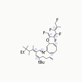 C=CCC\C(=C/C(/C=N/C1=CC(OC(=C\F)/C(F)=C(F)\C(F)=C(/C)CF)/C=C\C/C=C\1)=C(/C)C(C)C(C)(C)CC)C(C)(C)C